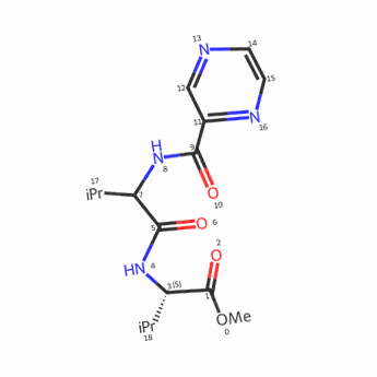 COC(=O)[C@@H](NC(=O)C(NC(=O)c1cnccn1)C(C)C)C(C)C